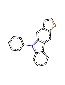 c1ccc(-n2c3ccccc3c3cc4sccc4cc32)cc1